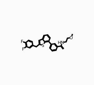 C=C(NCCOC)c1cccc(-c2cccc3cc(Cc4ccc(F)c(F)c4)sc23)c1